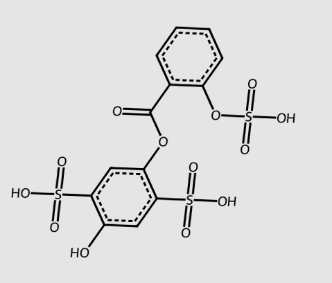 O=C(Oc1cc(S(=O)(=O)O)c(O)cc1S(=O)(=O)O)c1ccccc1OS(=O)(=O)O